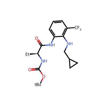 CC[C@H](NC(=O)OC(C)(C)C)C(=O)Nc1cccc(C(F)(F)F)c1NCC1CC1